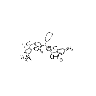 Cc1cc(N)ccc1C(C)c1ccc(C(c2ccc(C(C)c3ccc(N)cc3C)cc2)C2CCCCC2)cc1